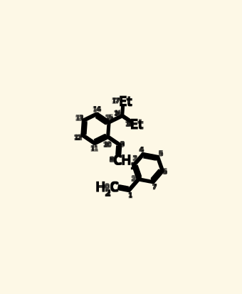 C=Cc1ccccc1.C=Cc1ccccc1C(CC)CC